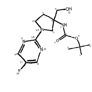 CC(C)(C)OC(=O)NC1(CO)CCN(c2ncc(F)cn2)C1